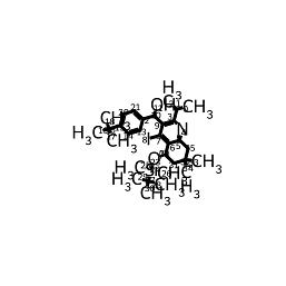 CC(C)c1nc2c(c(I)c1C(O)c1ccc(C(C)(C)C)cc1)[C@H](O[Si](C)(C)C(C)(C)C)CC(C)(C)C2